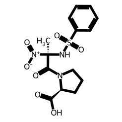 C[C@](NS(=O)(=O)c1ccccc1)(C(=O)N1CCC[C@H]1C(=O)O)[N+](=O)[O-]